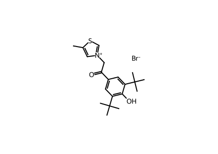 Cc1c[n+](CC(=O)c2cc(C(C)(C)C)c(O)c(C(C)(C)C)c2)cs1.[Br-]